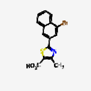 Cc1nc(-c2cc(Br)c3ccccc3c2)sc1C(=O)O